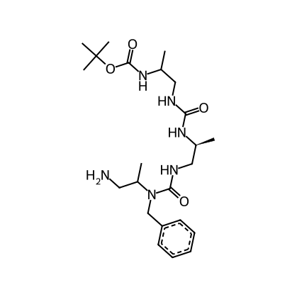 CC(CNC(=O)N[C@@H](C)CNC(=O)N(Cc1ccccc1)C(C)CN)NC(=O)OC(C)(C)C